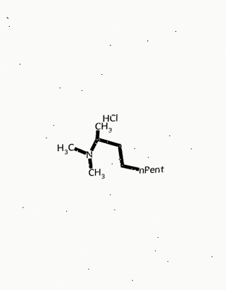 CCCCCCCC(C)N(C)C.Cl